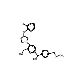 COCc1ccc(C(O)c2ccc(N3CCC(Oc4ncccc4Cl)C3)c(CO)c2)cc1